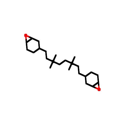 C[Si](C)(CCC1CCC2OC2C1)CC[Si](C)(C)CCC1CCC2OC2C1